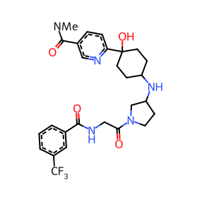 CNC(=O)c1ccc(C2(O)CCC(NC3CCN(C(=O)CNC(=O)c4cccc(C(F)(F)F)c4)C3)CC2)nc1